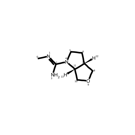 C/N=C(\N)N1CC[C@@H]2COC[C@@H]21